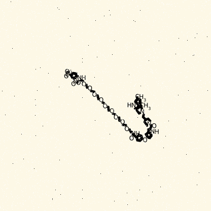 Cc1ccc2c(c1)NCC21CCN(CCC2CCN(C(=O)c3cc4cc(Oc5ccc(C(=O)NCCOCCOCCOCCOCCOCCOCCOCCOCCOCCNc6ccc([N+](=O)[O-])cc6[N+](=O)[O-])cc5)ccc4[nH]3)CC2)CC1C